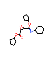 O=C(OC1CCCC1)C1OC1C(=NC1CCCCC1)OC1CCCC1